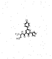 O=C(N[C@H](CO)C(F)(F)F)c1cc(-c2ccc(Cl)cc2)nn(-c2cnsc2)c1=O